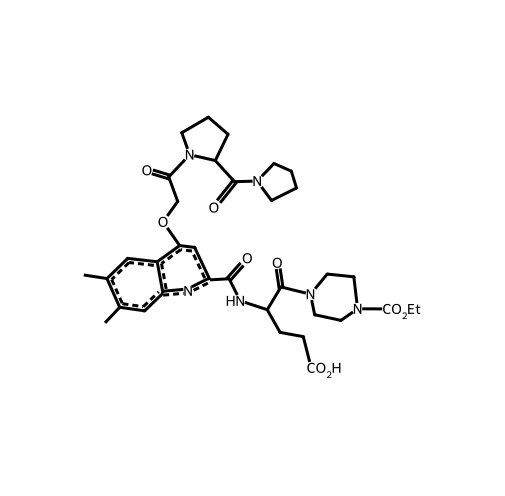 CCOC(=O)N1CCN(C(=O)C(CCC(=O)O)NC(=O)c2cc(OCC(=O)N3CCCC3C(=O)N3CCCC3)c3cc(C)c(C)cc3n2)CC1